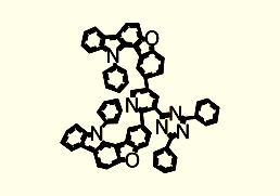 c1ccc(-c2nc(-c3ccccc3)nc(-c3cc(-c4ccc5oc6ccc7c8ccccc8n(-c8ccccc8)c7c6c5c4)cnc3-c3ccc4oc5ccc6c7ccccc7n(-c7ccccc7)c6c5c4c3)n2)cc1